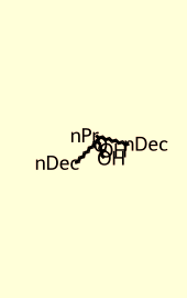 CCCCCCCCCCCCCCCCCCC(CCC)C(CCCCCCCCCCCCCCCCCC)OCC(O)CO